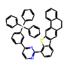 c1ccc([Si](c2ccccc2)(c2ccccc2)c2cccc(-c3ccnc(-c4cccc5c4sc4cc6c(cc45)CCc4ccccc4-6)n3)c2)cc1